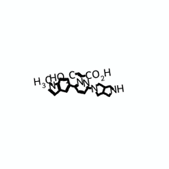 Cn1ccc2cc(-c3ccc(N4CC5CNCC5C4)nn3)ccc21.O=C(O)/C=C/C(=O)O